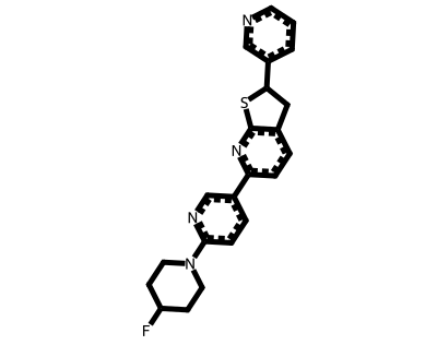 FC1CCN(c2ccc(-c3ccc4c(n3)SC(c3cccnc3)C4)cn2)CC1